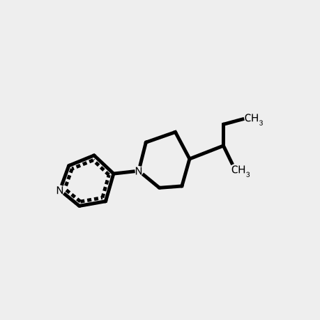 CCC(C)C1CCN(c2ccncc2)CC1